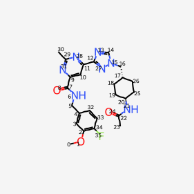 COc1cc(CNC(=O)c2cc(-c3ncn(C[C@H]4CC[C@H](NC(C)=O)CC4)n3)nc(C)n2)ccc1F